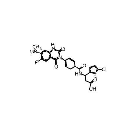 CNc1cc2[nH]c(=O)n(C3=CCC(C(=O)NC(CC(=O)O)c4ccc(Cl)s4)C=C3)c(=O)c2cc1F